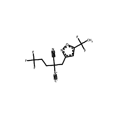 [C-]#[N+]C(C#N)(CCC(F)(F)F)Cc1cc(C(C)(F)F)on1